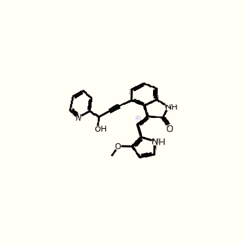 COc1cc[nH]c1/C=C1\C(=O)Nc2cccc(C#CC(O)c3ccccn3)c21